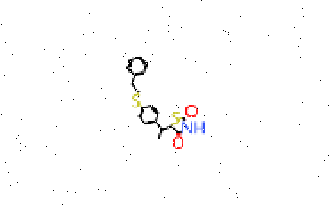 CC(c1ccc(SCCc2ccccc2)cc1)C1SC(=O)NC1=O